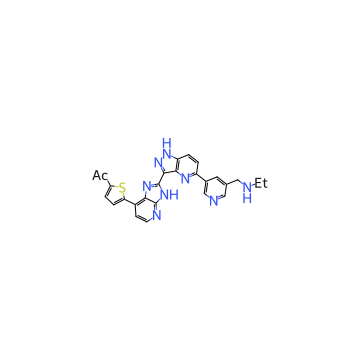 CCNCc1cncc(-c2ccc3[nH]nc(-c4nc5c(-c6ccc(C(C)=O)s6)ccnc5[nH]4)c3n2)c1